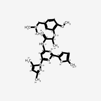 COc1ccc(CN(C)C)cc1OC(C)C(=O)Nc1cc(-n2nc(C)cc2C)nc(-c2ccc(C)o2)n1